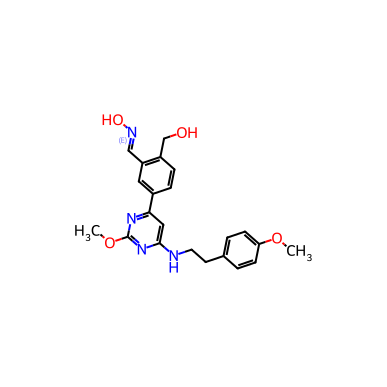 COc1ccc(CCNc2cc(-c3ccc(CO)c(/C=N/O)c3)nc(OC)n2)cc1